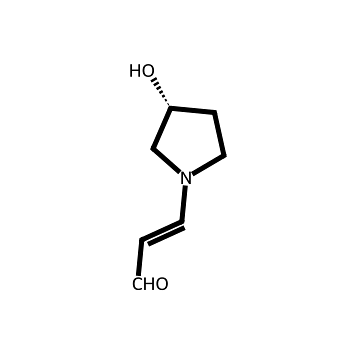 O=CC=CN1CC[C@@H](O)C1